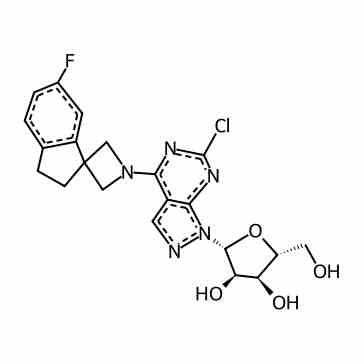 OC[C@H]1O[C@@H](n2ncc3c(N4CC5(CCc6ccc(F)cc65)C4)nc(Cl)nc32)[C@H](O)[C@@H]1O